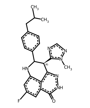 CC(C)Cc1ccc(C2Nc3cc(F)cc4c(=O)[nH]nc(c34)[C@@H]2c2ncnn2C)cc1